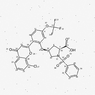 O=C(O)[C@@H]1C[C@H](Oc2cc(OC(F)(F)F)ccc2-c2cc(=O)c3cccc(Cl)c3o2)CN1S(=O)(=O)c1ccccc1